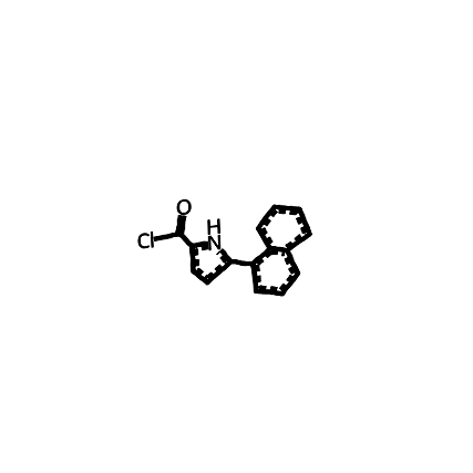 O=C(Cl)c1ccc(-c2cccc3ccccc23)[nH]1